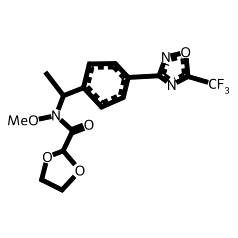 CON(C(=O)C1OCCO1)C(C)c1ccc(-c2noc(C(F)(F)F)n2)cc1